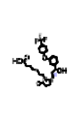 O=C(O)CCCCCCN1C(=O)CC[C@@H]1/C=C/C(O)c1cccc(Oc2ccc(C(F)(F)F)cc2)c1